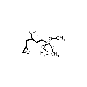 CO[Si](CCC(C)CC1CO1)(OC)OC